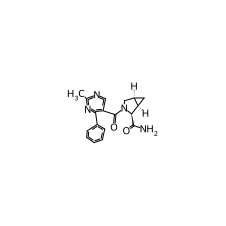 Cc1ncc(C(=O)N2C[C@H]3C[C@H]3[C@H]2C(N)=O)c(-c2ccccc2)n1